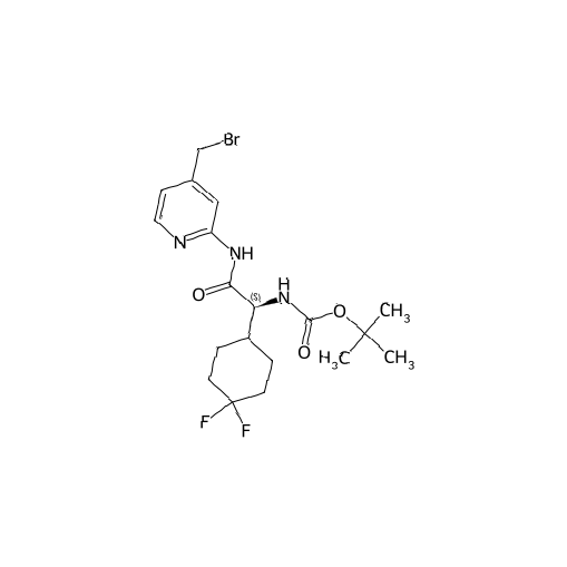 CC(C)(C)OC(=O)N[C@H](C(=O)Nc1cc(CBr)ccn1)C1CCC(F)(F)CC1